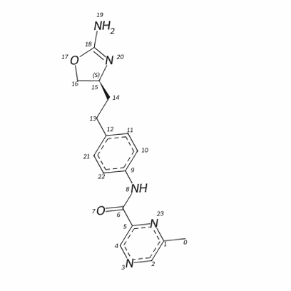 Cc1cncc(C(=O)Nc2ccc(CC[C@H]3COC(N)=N3)cc2)n1